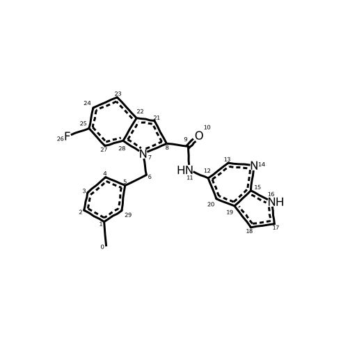 Cc1cccc(Cn2c(C(=O)Nc3cnc4[nH]ccc4c3)cc3ccc(F)cc32)c1